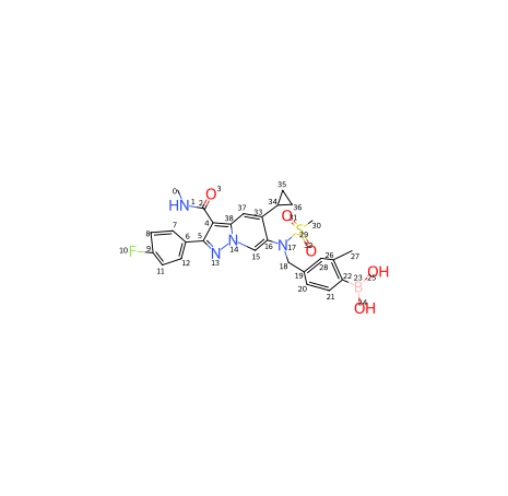 CNC(=O)c1c(-c2ccc(F)cc2)nn2cc(N(Cc3ccc(B(O)O)c(C)c3)S(C)(=O)=O)c(C3CC3)cc12